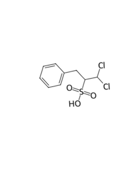 O=S(=O)(O)C(Cc1ccccc1)C(Cl)Cl